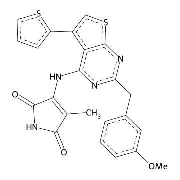 COc1cccc(Cc2nc(NC3=C(C)C(=O)NC3=O)c3c(-c4cccs4)csc3n2)c1